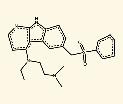 CCN(CCN(C)C)c1ccnc2[nH]c3ccc(CS(=O)(=O)c4ccccc4)cc3c12